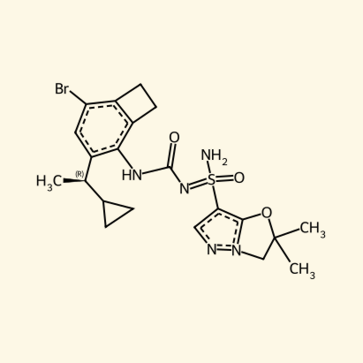 C[C@@H](c1cc(Br)c2c(c1NC(=O)N=S(N)(=O)c1cnn3c1OC(C)(C)C3)CC2)C1CC1